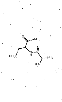 C[C@H](N)C(=O)N[C@@H](CC(=O)O)C(N)=O